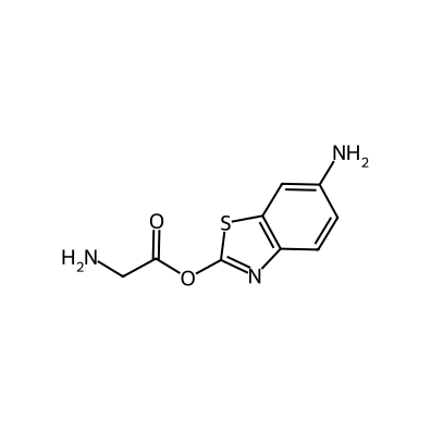 NCC(=O)Oc1nc2ccc(N)cc2s1